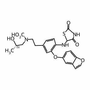 C[C@H](O)CN(CCc1ccc(NC2SC(=O)NC2=O)c(Oc2ccc3occc3c2)c1)C(=O)O